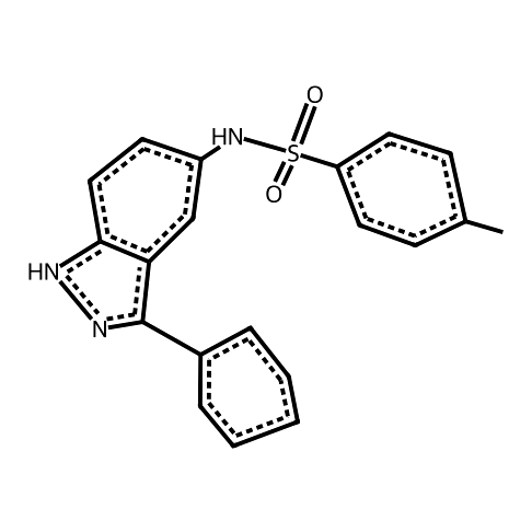 Cc1ccc(S(=O)(=O)Nc2ccc3[nH]nc(-c4ccccc4)c3c2)cc1